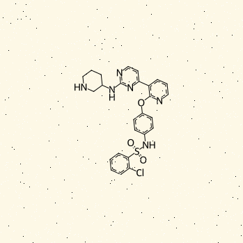 O=S(=O)(Nc1ccc(Oc2ncccc2-c2ccnc(NC3CCCNC3)n2)cc1)c1ccccc1Cl